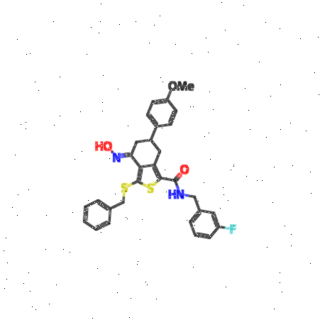 COc1ccc(C2C/C(=N\O)c3c(SCc4ccccc4)sc(C(=O)NCc4cccc(F)c4)c3C2)cc1